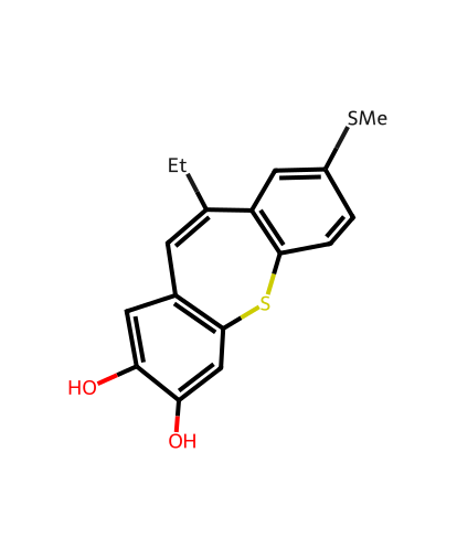 CCC1=Cc2cc(O)c(O)cc2Sc2ccc(SC)cc21